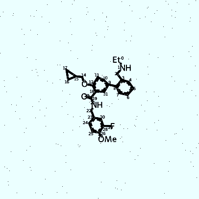 CCNCc1ccccc1-c1ccc(OCC2CC2)c(C(=O)NCc2ccc(OC)c(F)c2)c1